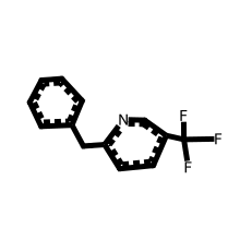 FC(F)(F)c1ccc(Cc2ccccc2)nc1